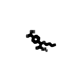 CCCCOC(C(N)=O)c1ccc(C(=O)O)cc1